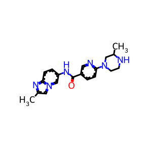 Cc1cn2cc(NC(=O)c3ccc(N4CCNC(C)C4)nc3)ccc2n1